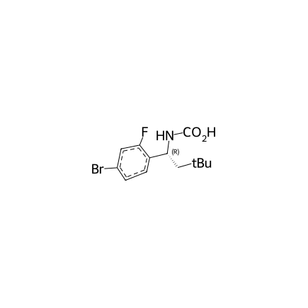 CC(C)(C)C[C@@H](NC(=O)O)c1ccc(Br)cc1F